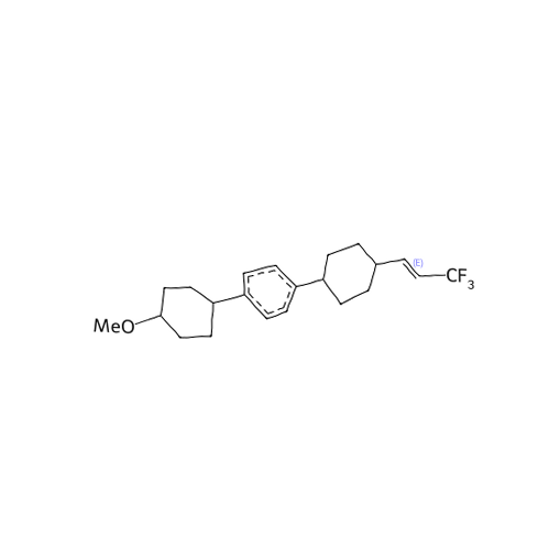 COC1CCC(c2ccc(C3CCC(/C=C/C(F)(F)F)CC3)cc2)CC1